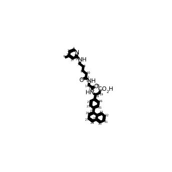 Cc1ccnc(NCCCCC(=O)NCC(=O)NC(CC(=O)O)c2ccc(-c3cccc4ccccc34)cc2)c1